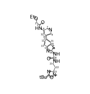 CCOCC(=O)Nc1cncc(-c2ccc3nc(NC(=O)NCCc4noc(C(C)(C)C)n4)sc3c2)c1